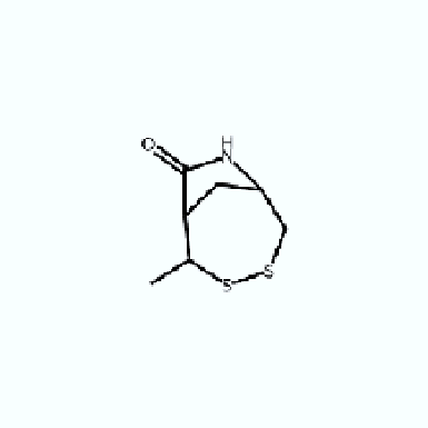 CC1SSCC2CC1C(=O)N2